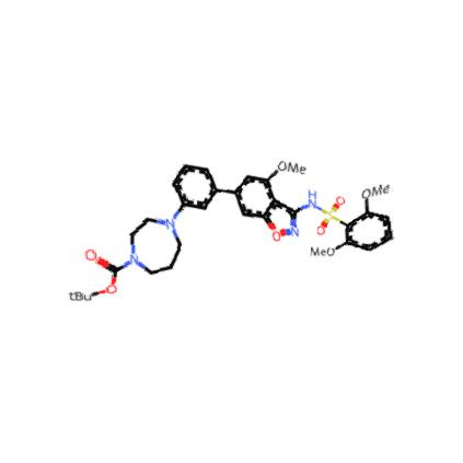 COc1cccc(OC)c1S(=O)(=O)Nc1noc2cc(-c3cccc(N4CCCN(C(=O)OC(C)(C)C)CC4)c3)cc(OC)c12